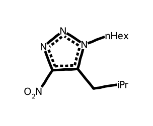 CCCCCCn1nnc([N+](=O)[O-])c1CC(C)C